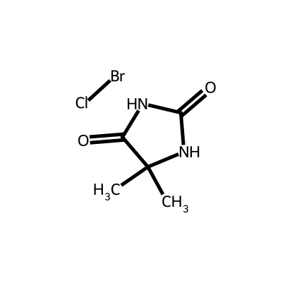 CC1(C)NC(=O)NC1=O.ClBr